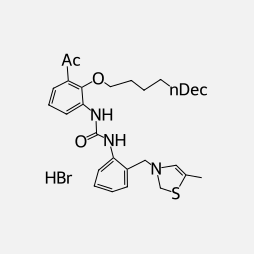 Br.CCCCCCCCCCCCCCOc1c(NC(=O)Nc2ccccc2CN2C=C(C)SC2)cccc1C(C)=O